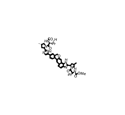 COC(=O)NC(C(=O)N1CC(C)CC1c1nc2ccc3cc4c(cc3c2[nH]1)OCc1cc(-c2cnc(C3C[C@H](C)CN3C(=O)[C@@H](NC(=O)O)C(C)C)[nH]2)ccc1-4)C(C)C